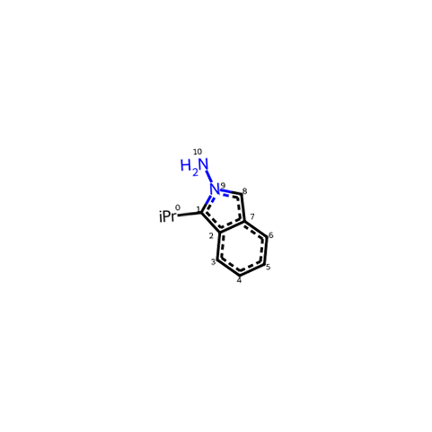 CC(C)c1c2ccccc2cn1N